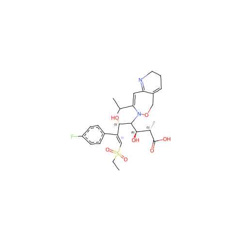 CCS(=O)(=O)/C=C(\c1ccc(F)cc1)[C@H](O)C([C@H](O)[C@H](C)C(=O)O)N1OCC2=CCCN=C2C=C1C(C)C